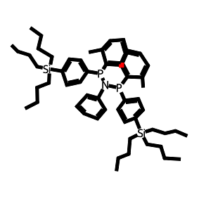 CCCC[Si](CCCC)(CCCC)c1ccc(P(c2ccccc2C)N(c2ccccc2)P(c2ccc([Si](CCCC)(CCCC)CCCC)cc2)c2ccccc2C)cc1